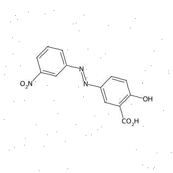 O=C(O)c1cc(N=Nc2cccc([N+](=O)[O-])c2)ccc1O